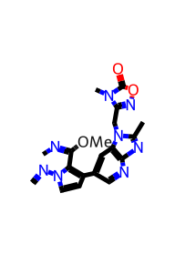 C=Nn1ccc(-c2cnc3nc(C)n(Cc4noc(=O)n4C)c3c2)c1/C(=N\C)OC